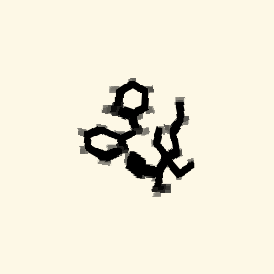 C#CC(O)C(CC)(CC)CCCC.C1CCC(OC2CCCCO2)OC1